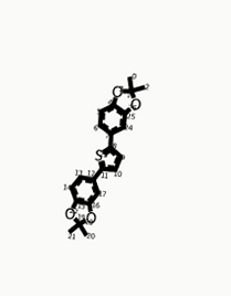 CC1(C)Oc2ccc(-c3ccc(-c4ccc5c(c4)OC(C)(C)O5)s3)cc2O1